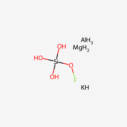 O[Si](O)(O)OF.[AlH3].[KH].[MgH2]